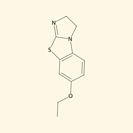 CCOc1ccc2c(c1)SC1=NCCN12